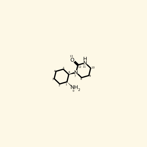 N[C@@H]1CCCC[C@H]1N1CCCNC1=O